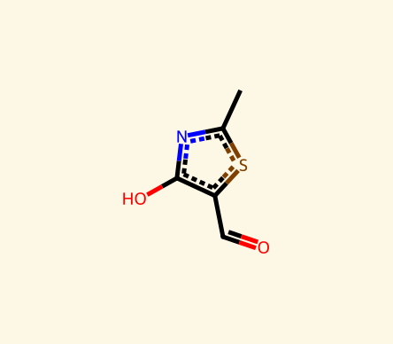 Cc1nc(O)c(C=O)s1